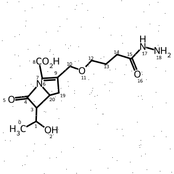 CC(O)C1C(=O)N2C(C(=O)O)=C(COCCCC(=O)NN)CC12